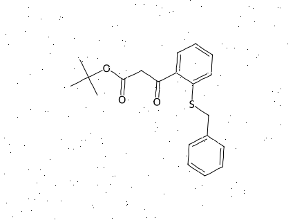 CC(C)(C)OC(=O)CC(=O)c1ccccc1SCc1ccccc1